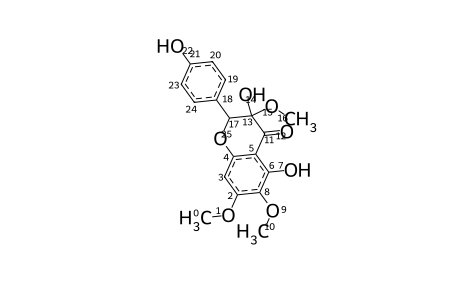 COc1cc2c(c(O)c1OC)C(=O)C(O)(OC)C(c1ccc(O)cc1)O2